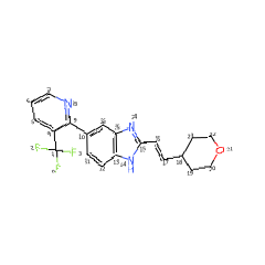 FC(F)(F)c1cccnc1-c1ccc2[nH]c(/C=C/C3CCOCC3)nc2c1